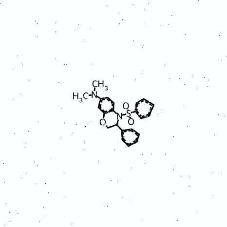 CN(C)c1ccc2c(c1)OCC(c1ccccc1)N2S(=O)(=O)c1ccccc1